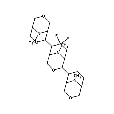 CN1C2CCC(C3OCC4C(C5OCC6COCC5N6C)C(F)(F)CC3N4C)C1COC2